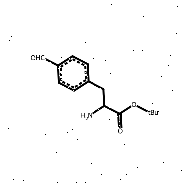 CC(C)(C)OC(=O)C(N)Cc1ccc(C=O)cc1